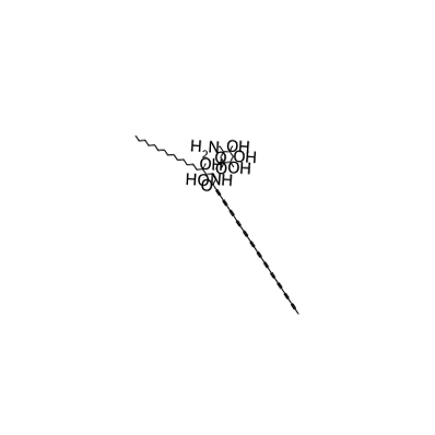 CC#CC#CC#CC#CC#CC#CC#CC#CC#CC#CC#CC#CC(=O)N[C@@H](COC1OC(CN)C(O)C(O)C1O)[C@H](O)[C@H](O)CCCCCCCCCCCCCC